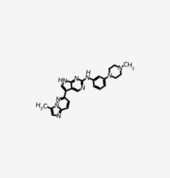 Cc1cnc2ccc(-c3c[nH]c4nc(Nc5cccc(N6CCN(C)CC6)c5)ncc34)nn12